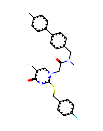 CCCN(Cc1ccc(-c2ccc(C(F)(F)F)cc2)cc1)C(=O)Cn1cc(SC)c(=O)nc1SCc1ccc(F)cc1